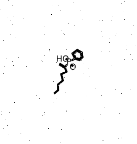 C=C(CCCCCC)P(=O)(O)c1ccccc1